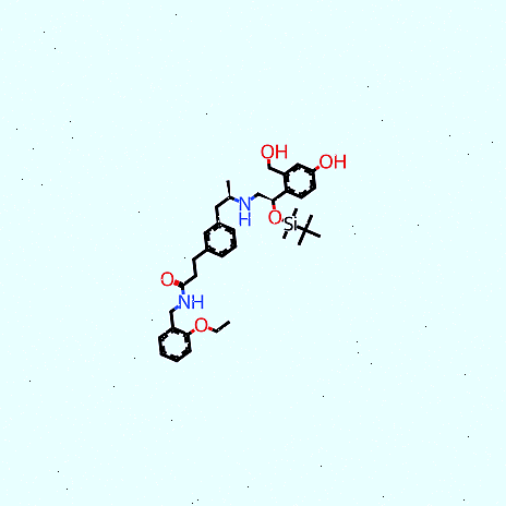 CCOc1ccccc1CNC(=O)CCc1cccc(C[C@@H](C)NC[C@H](O[Si](C)(C)C(C)(C)C)c2ccc(O)cc2CO)c1